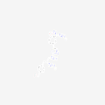 Nc1noc2ccc(-c3cnc(NC[C@@H](N)Cc4ccc(CF)cc4)s3)cc12